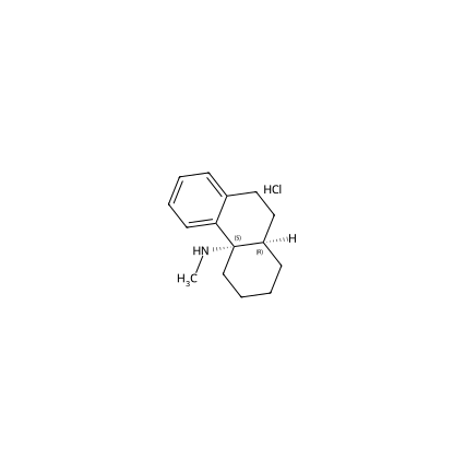 CN[C@@]12CCCC[C@@H]1CCc1ccccc12.Cl